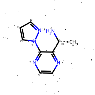 C[C@@H](N)c1nccnc1-n1cccn1